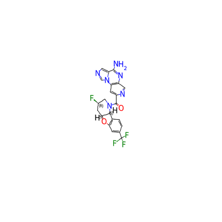 Nc1nc2cnc(C(=O)N3C[C@H](F)C[C@@H]4Oc5cc(C(F)(F)F)ccc5[C@@H]43)cc2n2cncc12